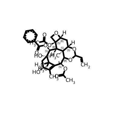 C=CC1O[C@H]2C[C@H]3OC[C@@]3(OC(C)=O)[C@H]3[C@H](OC(=O)c4ccccc4)[C@]4(O)C[C@H](O)C(C)=C([C@H](OC(C)=O)[C@H](O1)[C@]23C)C4(C)C